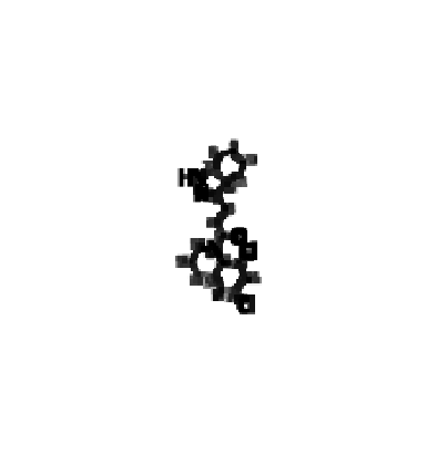 O=C(/C=C/c1n[nH]c2ccccc12)N1CCCc2cc(Cl)cc(Cl)c21